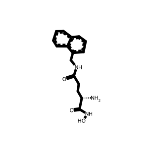 N[C@@H](CCC(=O)NCc1cccc2ccccc12)C(=O)NO